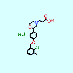 Cc1cccc(COc2ccc(C3CN(CCC(=O)O)CCO3)cc2)c1Cl.Cl